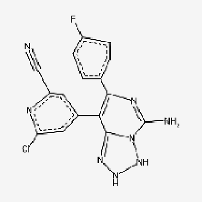 N#Cc1cc(C2=C(c3ccc(F)cc3)N=C(N)N3NNN=C23)cc(Cl)n1